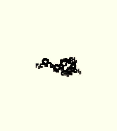 Cc1ncc(C(C)n2c(CCN(C)c3ccccn3)c(SC(C)(C)C)c3cc(OCc4cccc(C(F)(F)F)n4)nnc32)cn1